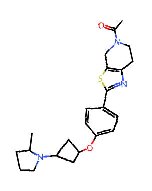 CC(=O)N1CCc2nc(-c3ccc(OC4CC(N5CCCC5C)C4)cc3)sc2C1